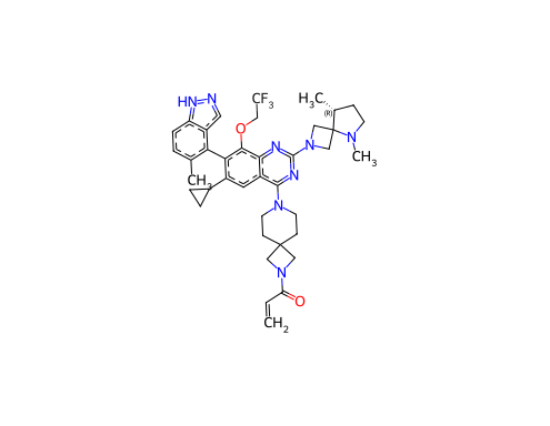 C=CC(=O)N1CC2(CCN(c3nc(N4CC5(C4)[C@H](C)CCN5C)nc4c(OCC(F)(F)F)c(-c5c(C)ccc6[nH]ncc56)c(C5CC5)cc34)CC2)C1